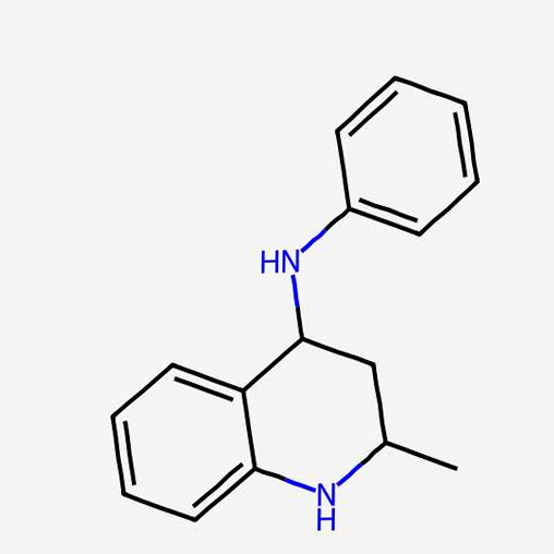 CC1CC(Nc2ccccc2)c2ccccc2N1